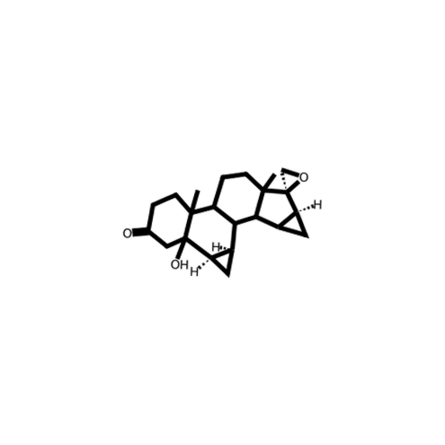 CC12CCC(=O)CC1(O)[C@@H]1C[C@@H]1C1C2CCC2(C)C1C1C[C@@H]1[C@@]21CO1